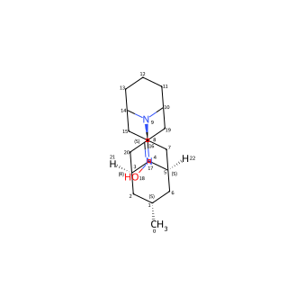 C[C@@H]1C[C@@H]2C[C@H](C1)C[C@H](N1C3CCCC1CC(=NO)C3)C2